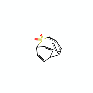 O=S1(=O)[C]2C=C[C](C=C2)c2ccc1cc2